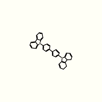 C1=CCC2C(=C1)N(c1ccc(-c3ccc(-n4c5ccccc5c5ccccc54)cc3)cc1)C1=C2CCC=C1